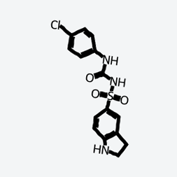 O=C(Nc1ccc(Cl)cc1)NS(=O)(=O)c1ccc2c(c1)CCN2